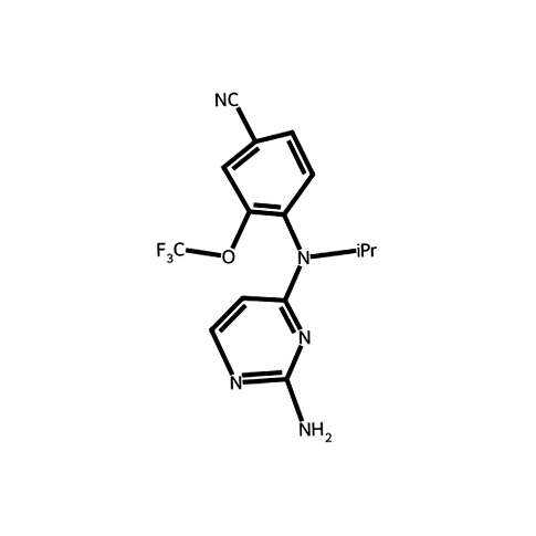 CC(C)N(c1ccnc(N)n1)c1ccc(C#N)cc1OC(F)(F)F